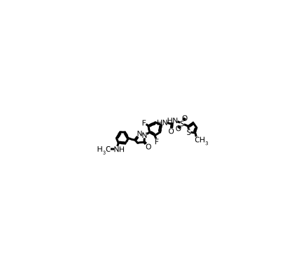 CNc1cccc(C2=NN(c3c(F)cc(NC(=O)NS(=O)(=O)c4ccc(C)s4)cc3F)C(=O)C2)c1